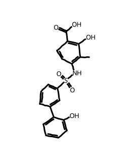 Cc1c(NS(=O)(=O)c2cccc(-c3ccccc3O)c2)ccc(C(=O)O)c1O